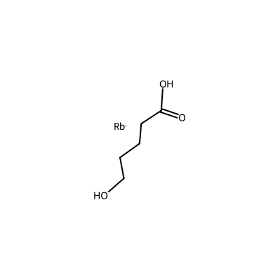 O=C(O)CCCCO.[Rb]